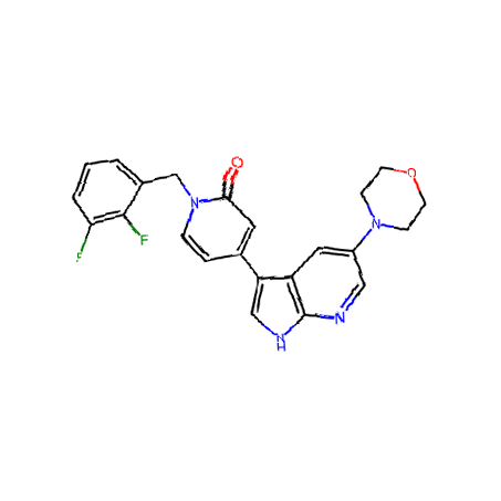 O=c1cc(-c2c[nH]c3ncc(N4CCOCC4)cc23)ccn1Cc1cccc(F)c1F